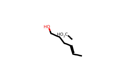 CC(=O)O.CC=CCCCO